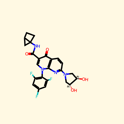 O=C(NC12CCC1C2)c1cn(-c2c(F)cc(F)cc2F)c2nc(N3C[C@@H](O)[C@H](O)C3)ccc2c1=O